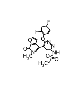 CCS(=O)(=O)Nc1cc(-c2cn(C)c(=O)c3occc23)c(Oc2ccc(F)cc2F)nn1